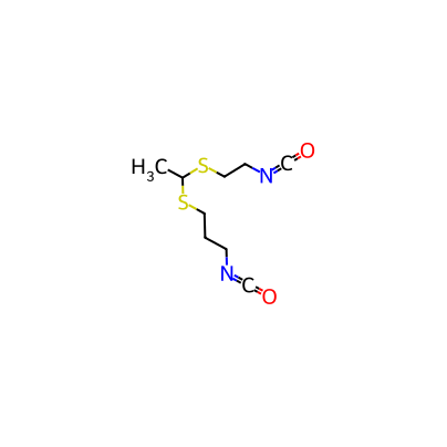 CC(SCCCN=C=O)SCCN=C=O